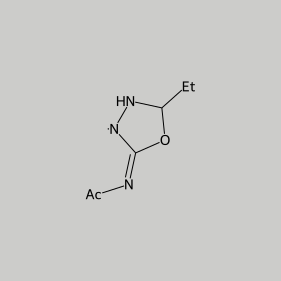 CCC1N[N]C(=NC(C)=O)O1